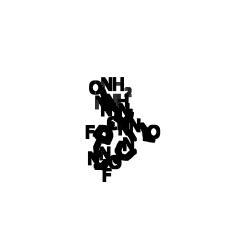 NC(=O)c1nnc(-c2cc3nc(CN4CCC(Oc5nc(Cc6ccc(Cl)cc6F)ncc5F)CC4)n(CC4CCO4)c3cn2)[nH]1